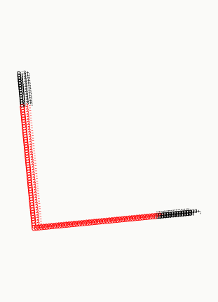 [Bi+3].[Bi+3].[Bi+3].[Bi+3].[Bi+3].[Bi+3].[Bi+3].[Bi+3].[Bi+3].[Bi+3].[Bi+3].[Bi+3].[Bi+3].[Bi+3].[Bi+3].[Bi+3].[Bi+3].[Bi+3].[Bi+3].[Bi+3].[Bi+3].[Bi+3].[Bi+3].[Bi+3].[Bi+3].[Bi+3].[Bi+3].[O-2].[O-2].[O-2].[O-2].[O-2].[O-2].[O-2].[O-2].[O-2].[O-2].[O-2].[O-2].[O-2].[O-2].[O-2].[O-2].[O-2].[O-2].[O-2].[O-2].[O-2].[O-2].[O-2].[O-2].[O-2].[O-2].[O-2].[O-2].[O-2].[O-2].[O-2].[O-2].[O-2].[O-2].[O-2].[O-2].[O-2].[O-2].[O-2].[O-2].[O-2].[O-2].[O-2].[O-2].[O-2].[O-2].[O-2].[O-2].[O-2].[O-2].[O-2].[O-2].[O-2].[O-2].[O-2].[O-2].[O-2].[O-2].[O-2].[O-2].[O-2].[O-2].[O-2].[O-2].[O-2].[O-2].[O-2].[O-2].[O-2].[O-2].[O-2].[O-2].[O-2].[O-2].[O-2].[O-2].[O-2].[O-2].[O-2].[O-2].[O-2].[O-2].[O-2].[O-2].[O-2].[O-2].[O-2].[O-2].[O-2].[O-2].[O-2].[O-2].[O-2].[O-2].[O-2].[O-2].[O-2]